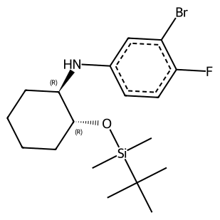 CC(C)(C)[Si](C)(C)O[C@@H]1CCCC[C@H]1Nc1ccc(F)c(Br)c1